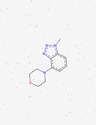 Cn1nnc2c(N3CCOCC3)cccc21